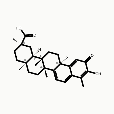 CC1=C(O)C(=O)C=C2C1=CC=C1[C@@]2(C)CC[C@@]2(C)[C@@H]3C[C@](C)(C(=O)O)CC[C@]3(C)CC[C@@]12C